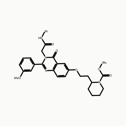 COc1cccc(-c2nc3ccc(OCCC4CCCCN4C(=O)OC(C)(C)C)cc3c(=O)n2CC(=O)NC(C)C)c1